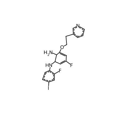 NC1C(OCCc2cccnc2)=CC(F)=CC1Nc1ccc(I)cc1F